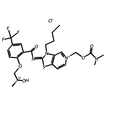 CCCCn1c(=NC(=O)c2cc(C(F)(F)F)ccc2OC[C@H](C)O)sc2cc[n+](COC(=O)N(C)C)cc21.[Cl-]